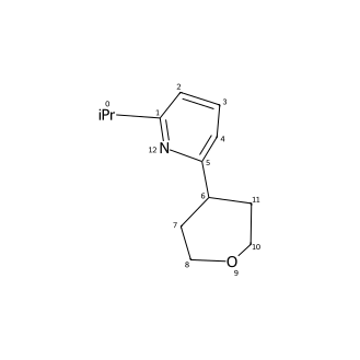 CC(C)c1cccc(C2CCOCC2)n1